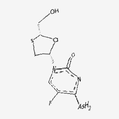 O=c1nc([AsH2])c(F)cn1[C@@H]1CS[C@H](CO)O1